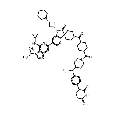 CC(C)n1cnc2cc(-c3ccc4c(c3)N([C@H]3C[C@@H](N5CCCCC5)C3)C(=O)C43CCN(C(=O)C4CCC(C(=O)N5CCC(N(C)c6ccc(C7CCC(=O)NC7=O)cc6)CC5)CC4)CC3)nc(NC3CC3)c21